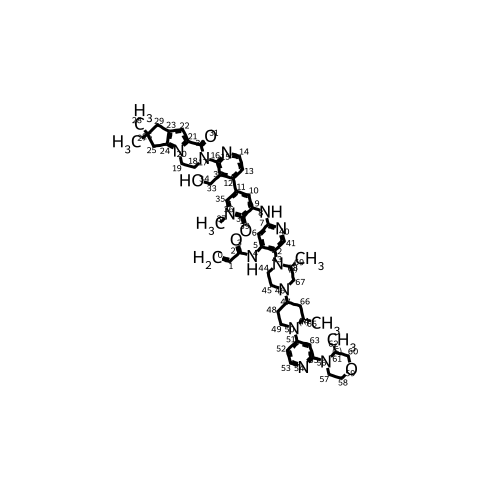 C=CC(=O)Nc1cc(Nc2cc(-c3ccnc(N4CCn5c(cc6c5CC(C)(C)C6)C4=O)c3CO)cn(C)c2=O)ncc1N1CCN(C2CCN(c3ccnc(N4CCOC[C@@H]4C)c3)[C@H](C)C2)C[C@@H]1C